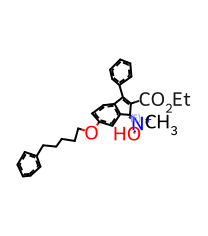 CCOC(=O)C1=C(c2ccccc2)c2ccc(OCCCCCc3ccccc3)cc2/C1=[N+](/C)O